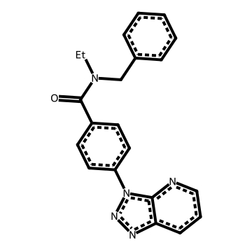 CCN(Cc1ccccc1)C(=O)c1ccc(-n2nnc3cccnc32)cc1